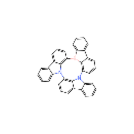 c1ccc2c(c1)B1c3c-2cccc3-n2c3ccccc3c3cccc(c32)-n2c3ccccc3c3cccc1c32